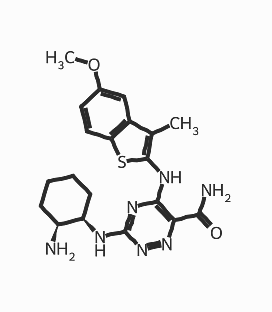 COc1ccc2sc(Nc3nc(N[C@@H]4CCCC[C@@H]4N)nnc3C(N)=O)c(C)c2c1